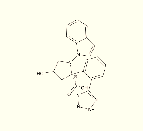 O=C(O)[C@]1(c2ccccc2-c2nn[nH]n2)CC(O)CN1n1ccc2ccccc21